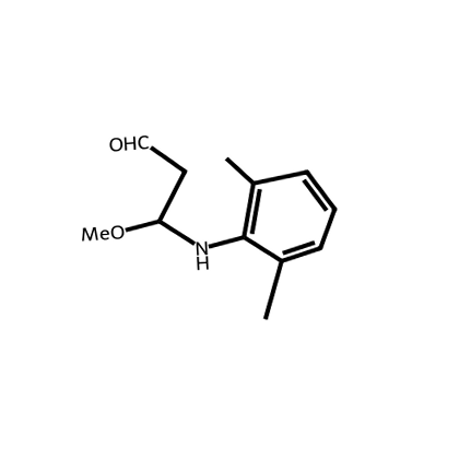 COC(CC=O)Nc1c(C)cccc1C